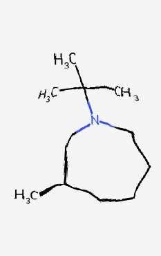 C[C@@H]1CCCCN(C(C)(C)C)C1